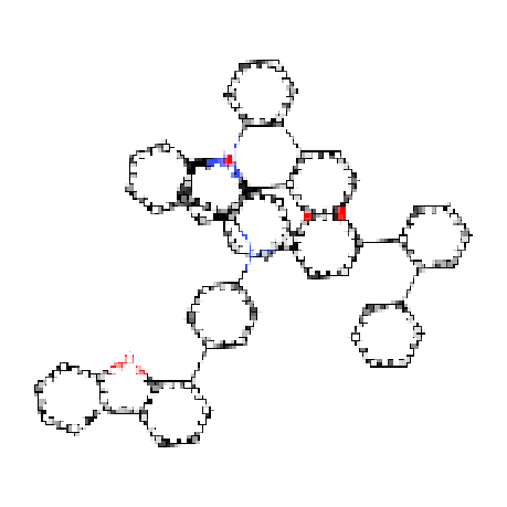 c1ccc(-c2ccccc2-c2ccc(N(c3ccc(-c4cccc5c4oc4ccccc45)cc3)c3ccccc3-c3ccccc3-c3ccccc3-n3c4ccccc4c4ccccc43)cc2)cc1